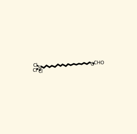 O=COCCCCCCCCCCCCCCCCCCC[Si](Cl)(Cl)Cl